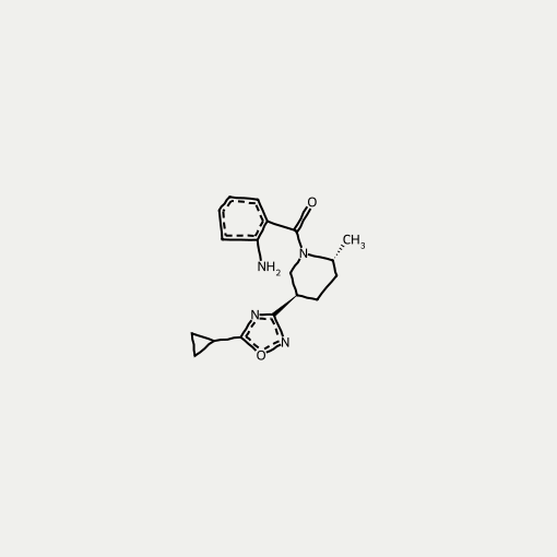 C[C@@H]1CC[C@@H](c2noc(C3CC3)n2)CN1C(=O)c1ccccc1N